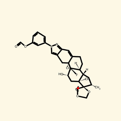 C[C@H]1C[C@H]2[C@@H]3CCC4=Cc5nn(-c6cccc(OC=O)c6)cc5C[C@]4(C)[C@@]3(F)[C@@H](O)C[C@]2(C)[C@]12OCOC21COCO1